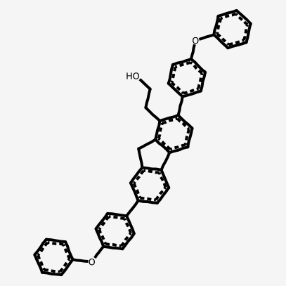 OCCc1c(-c2ccc(Oc3ccccc3)cc2)ccc2c1Cc1cc(-c3ccc(Oc4ccccc4)cc3)ccc1-2